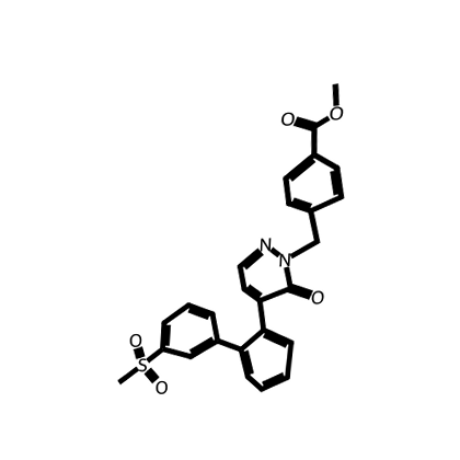 COC(=O)c1ccc(Cn2nccc(-c3ccccc3-c3cccc(S(C)(=O)=O)c3)c2=O)cc1